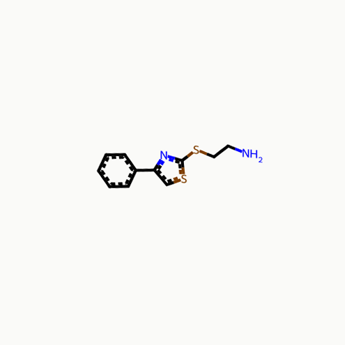 NCCSc1nc(-c2ccccc2)cs1